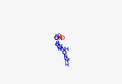 CN(c1ncccc1Cn1ccc2cnc(Nc3ccc(N4CCNC(C)(C)C4)cc3)nc21)S(C)(=O)=O